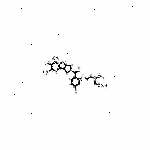 Cc1nc2c3c(nn2c(C)c1Cl)CN(C(=O)c1ccc(F)cc1OCCN(C)CC(=O)O)C3